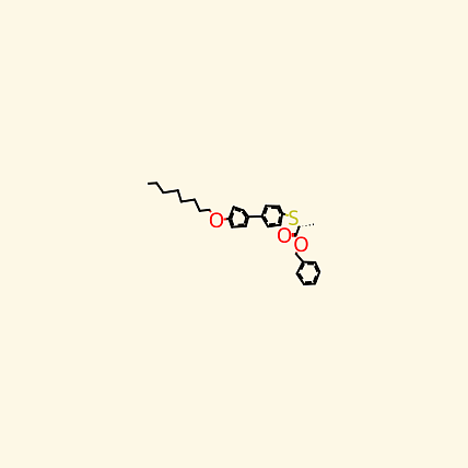 CCCCCCCCOc1ccc(-c2ccc(S[C@H](C)C(=O)OCc3ccccc3)cc2)cc1